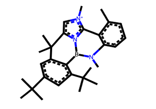 Cc1cccc2c1-c1n3c(c[n+]1C)C(C)(C)c1cc(C(C)(C)C)cc(C(C)(C)C)c1B3N2C